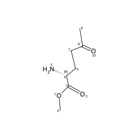 COC(=O)[C@H](N)CCC(C)=O